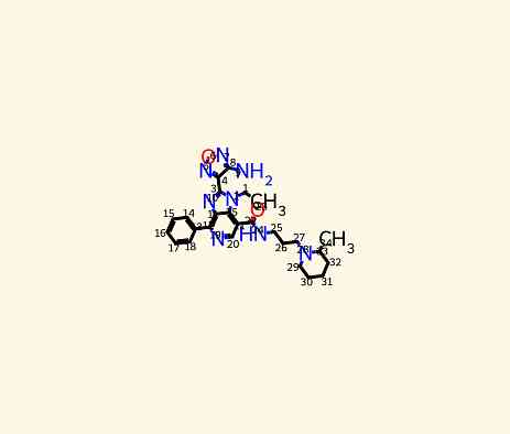 CCn1c(-c2nonc2N)nc2c(-c3ccccc3)ncc(C(=O)NCCCN3CCCCC3C)c21